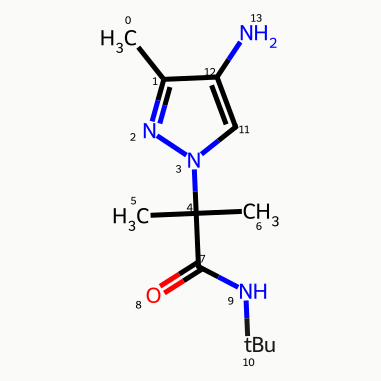 Cc1nn(C(C)(C)C(=O)NC(C)(C)C)cc1N